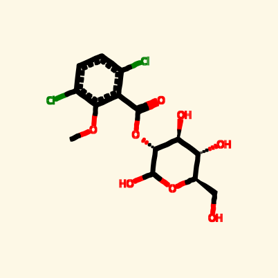 COc1c(Cl)ccc(Cl)c1C(=O)O[C@H]1C(O)O[C@H](CO)[C@@H](O)[C@@H]1O